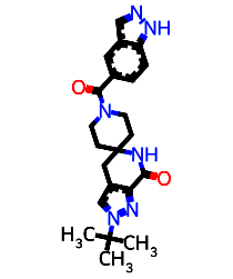 CC(C)(C)n1cc2c(n1)C(=O)NC1(CCN(C(=O)c3ccc4[nH]ncc4c3)CC1)C2